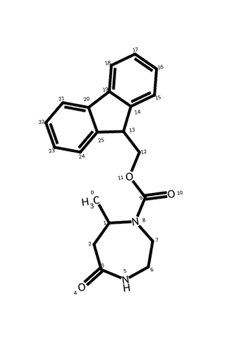 CC1CC(=O)NCCN1C(=O)OCC1c2ccccc2-c2ccccc21